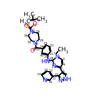 CCN1C=CC(c2c[nH]nc2-c2cccnc2)=NC1Nc1cccc(C(=O)N2CCN(C(=O)OC(C)(C)C)CC2)c1